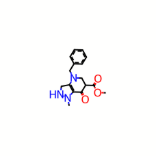 COC(=O)C1CN(Cc2ccccc2)C2=C(C1=O)N(C)NC2